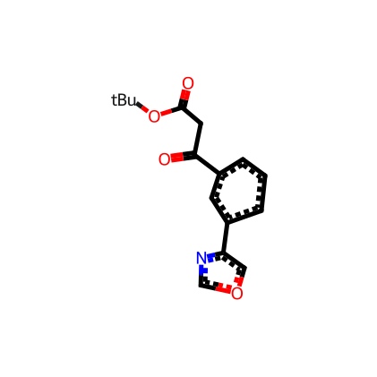 CC(C)(C)OC(=O)CC(=O)c1cccc(-c2cocn2)c1